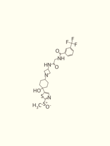 C[S+]([O-])c1ncc(C2(O)CCC(N3CC(NC(=O)CNC(=O)c4cccc(C(F)(F)F)c4)C3)CC2)s1